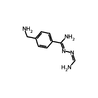 N/C=N\N=C(/N)c1ccc(CN)cc1